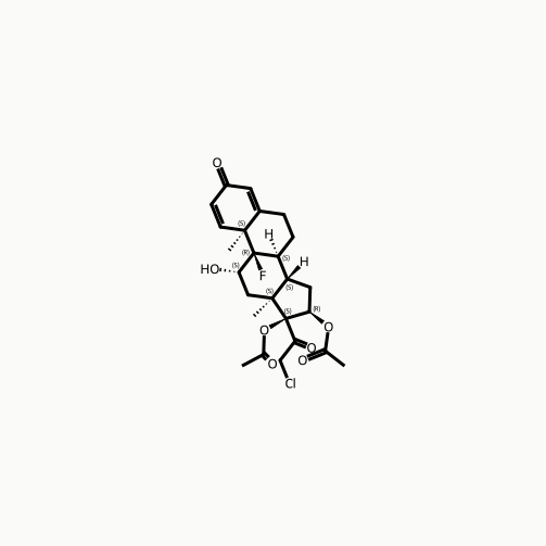 CC(=O)O[C@@H]1C[C@H]2[C@@H]3CCC4=CC(=O)C=C[C@]4(C)[C@@]3(F)[C@@H](O)C[C@]2(C)[C@@]1(OC(C)=O)C(=O)CCl